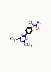 CCC(=O)N(Cl)c1ccc(-c2nc(C(Cl)(Cl)Cl)nc(C(Cl)(Cl)Cl)n2)cc1